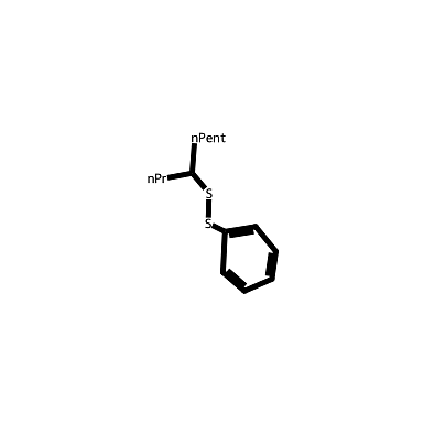 CCCCCC(CCC)SSc1ccccc1